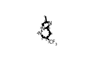 Cc1cn2ncc(C(F)(F)F)cc2n1